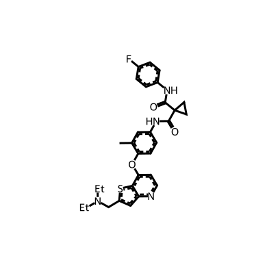 CCN(CC)Cc1cc2nccc(Oc3ccc(NC(=O)C4(C(=O)Nc5ccc(F)cc5)CC4)cc3C)c2s1